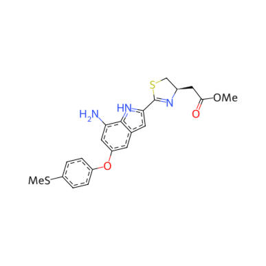 COC(=O)C[C@@H]1CSC(c2cc3cc(Oc4ccc(SC)cc4)cc(N)c3[nH]2)=N1